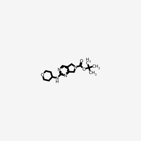 CC(C)(C)OC(=O)N1Cc2cnc(NC3CCOCC3)nc2C1